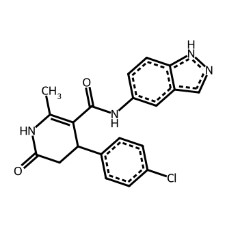 CC1=C(C(=O)Nc2ccc3[nH]ncc3c2)C(c2ccc(Cl)cc2)CC(=O)N1